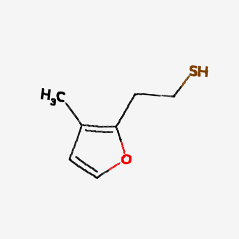 Cc1ccoc1CCS